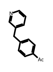 CC(=O)c1ccc(Cc2cccnc2)cc1